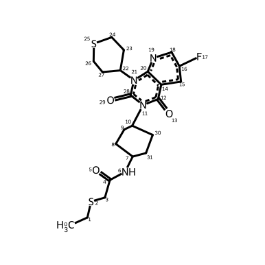 CCSCC(=O)NC1CCC(n2c(=O)c3cc(F)cnc3n(C3CCSCC3)c2=O)CC1